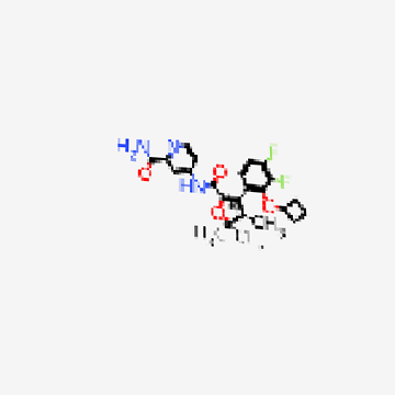 C[C@@H]1[C@H](c2ccc(F)c(F)c2OC2CCC2)[C@H](C(=O)Nc2ccnc(C(N)=O)c2)O[C@@]1(C)C(F)(F)F